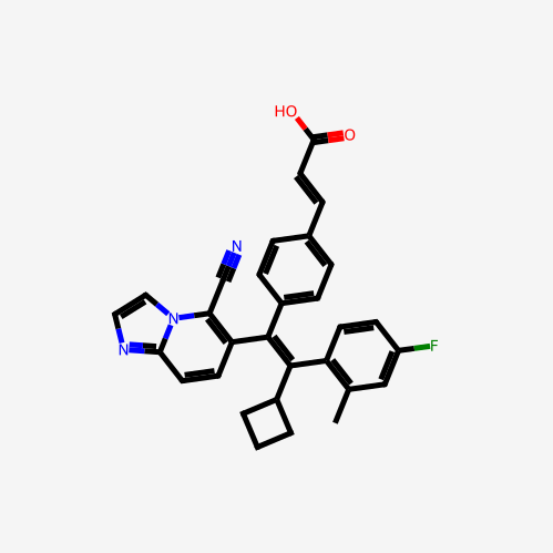 Cc1cc(F)ccc1/C(=C(\c1ccc(/C=C/C(=O)O)cc1)c1ccc2nccn2c1C#N)C1CCC1